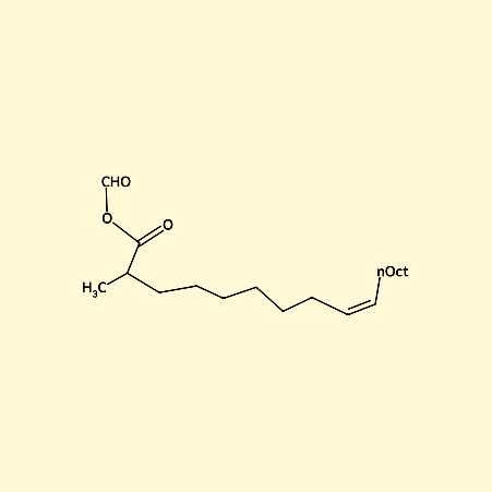 CCCCCCCC/C=C\CCCCCCC(C)C(=O)OC=O